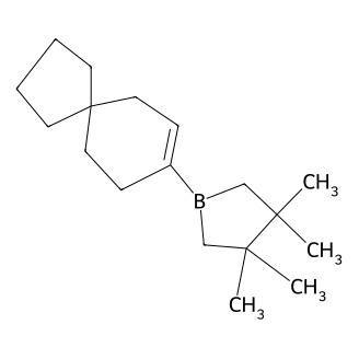 CC1(C)CB(C2=CCC3(CCCC3)CC2)CC1(C)C